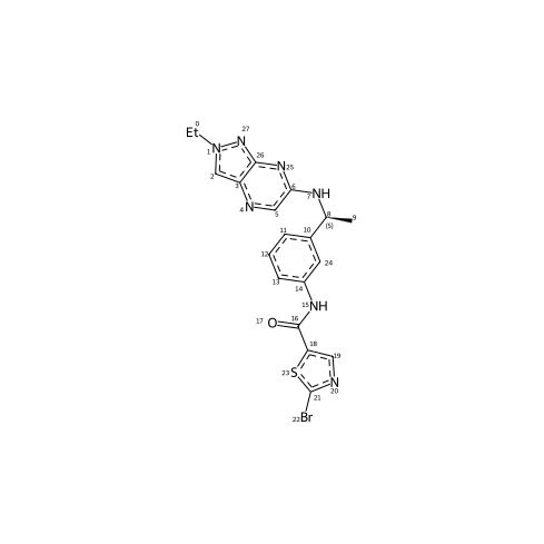 CCn1cc2ncc(N[C@@H](C)c3cccc(NC(=O)c4cnc(Br)s4)c3)nc2n1